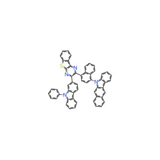 c1ccc(-n2c3ccccc3c3ccc(-c4nc5sc6ccccc6c5nc4-c4ccc(-n5c6ccccc6c6cc7ccccc7cc65)c5ccccc45)cc32)cc1